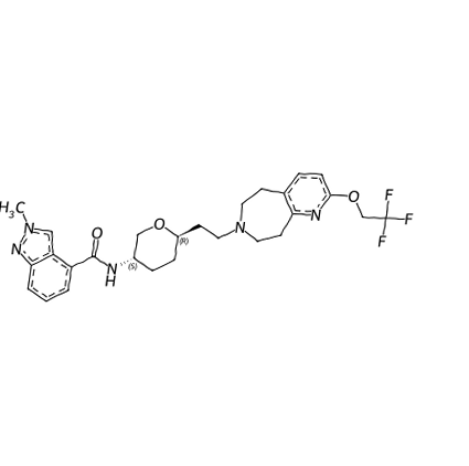 Cn1cc2c(C(=O)N[C@H]3CC[C@H](CCN4CCc5ccc(OCC(F)(F)F)nc5CC4)OC3)cccc2n1